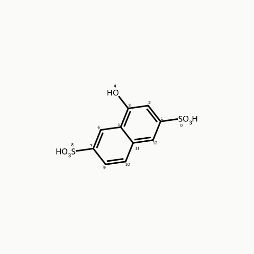 O=S(=O)(O)c1cc(O)c2cc(S(=O)(=O)O)ccc2c1